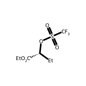 CCOC(=O)[C@@H](CC)OS(=O)(=O)C(F)(F)F